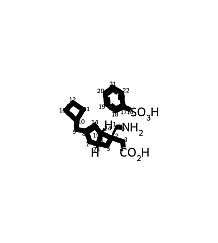 NC[C@@]1(CC(=O)O)C[C@@H]2CC(CC3CCC3)=C[C@@H]21.O=S(=O)(O)c1ccccc1